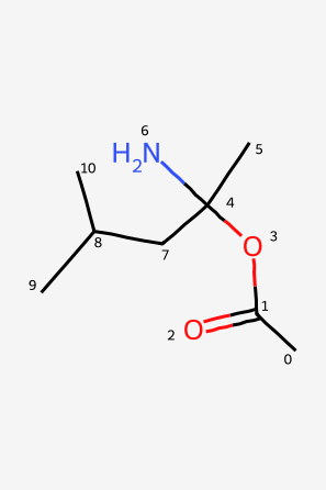 CC(=O)OC(C)(N)CC(C)C